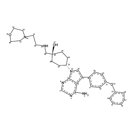 Nc1ncnc2c1c(-c1ccc(Oc3ccccc3)cc1)cn2[C@H]1CC[C@@](O)(CNCCN2CCOCC2)CC1